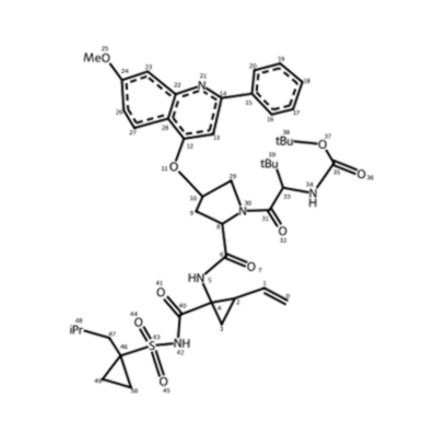 C=CC1CC1(NC(=O)C1CC(Oc2cc(-c3ccccc3)nc3cc(OC)ccc23)CN1C(=O)C(NC(=O)OC(C)(C)C)C(C)(C)C)C(=O)NS(=O)(=O)C1(CC(C)C)CC1